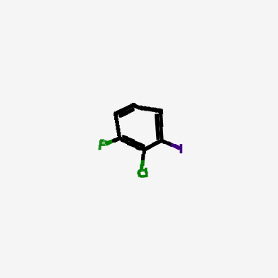 Fc1cccc(I)c1Cl